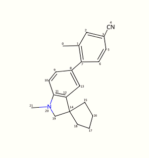 Cc1cc(C#N)ccc1-c1ccc2c(c1)C1(CCCC1)CN2C